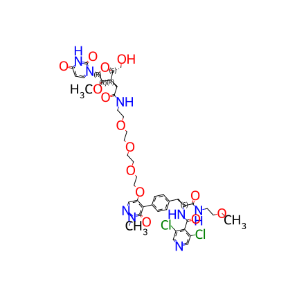 COCCNC(=O)[C@H](Cc1ccc(-c2c(OCCOCCOCCOCCNC(=O)C[C@H]3[C@@H](OC)[C@H](n4ccc(=O)[nH]c4=O)O[C@@H]3CO)cnn(C)c2=O)cc1)NC(=O)c1c(Cl)cncc1Cl